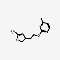 Cc1ccnc(OCC[C@H]2COC(N)=N2)n1